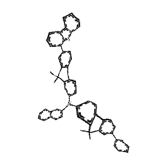 CC1(C)c2cc(-c3ccccc3)ccc2-c2ccc(N(c3ccc4c(c3)C(C)(C)c3cc(-c5cccc6c5sc5ccccc56)ccc3-4)c3ccc4ccccc4c3)cc21